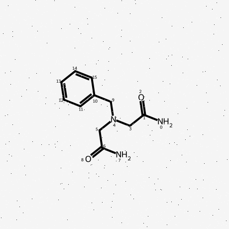 NC(=O)CN(CC(N)=O)Cc1ccccc1